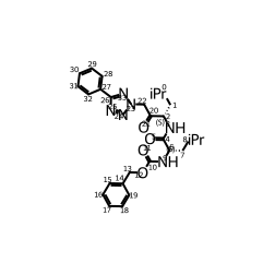 CC(C)C[C@H](NC(=O)[C@H](CC(C)C)NC(=O)OCc1ccccc1)C(=O)Cn1nnc(-c2ccccc2)n1